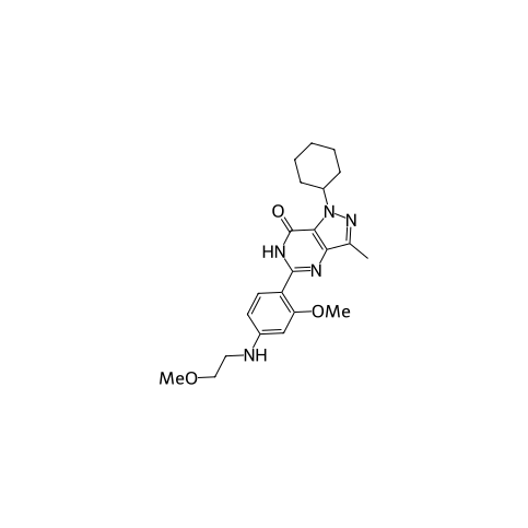 COCCNc1ccc(-c2nc3c(C)nn(C4CCCCC4)c3c(=O)[nH]2)c(OC)c1